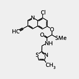 C#Cc1cnc2c(Cl)cc(OC(SC)C(=O)NCc3nc(C)cs3)cc2c1